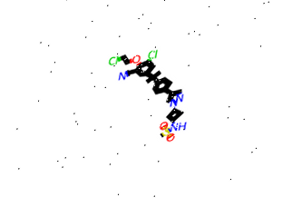 CC(C)(c1ccc(-c2cnn([C@H]3C[C@H](NS(C)(=O)=O)C3)c2)cc1)c1cc(Cl)c(OCCCl)c(C#N)c1